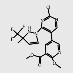 COC(=O)c1cc(-c2cnc(Cl)nc2N2C=CC(C)(C(F)(F)F)N2)cnc1OC